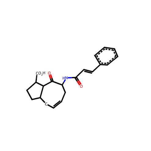 O=C(C=Cc1ccccc1)NC1C/C=C\CC2CCC(C(=O)O)C2C1=O